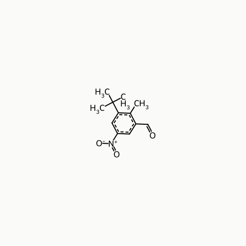 Cc1c(C=O)cc([N+](=O)[O-])cc1C(C)(C)C